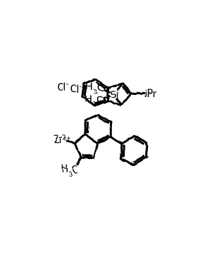 CC(C)C1=C2c3ccccc3C1[Si]2(C)C.CC1=Cc2c(-c3ccccc3)cccc2[CH]1[Zr+2].[Cl-].[Cl-]